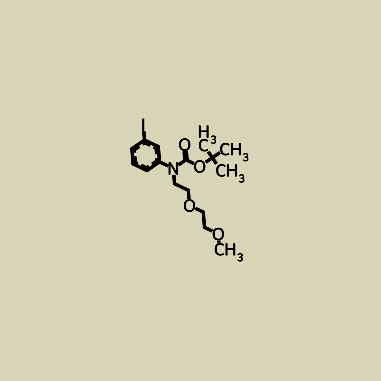 COCCOCCN(C(=O)OC(C)(C)C)c1cccc(I)c1